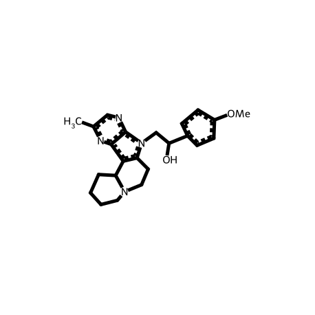 COc1ccc(C(O)Cn2c3c(c4nc(C)cnc42)C2CCCCN2CC3)cc1